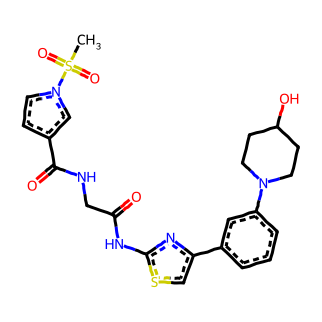 CS(=O)(=O)n1ccc(C(=O)NCC(=O)Nc2nc(-c3cccc(N4CCC(O)CC4)c3)cs2)c1